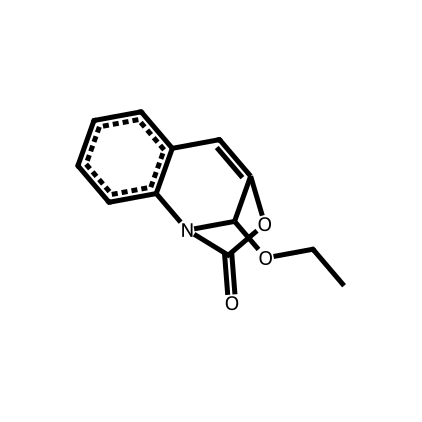 CCOC1C2=Cc3ccccc3N1C(=O)O2